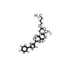 CCCCOC(=O)Cn1c(C)ncc(NC(=O)c2csc(-c3ccccc3)n2)c1=O